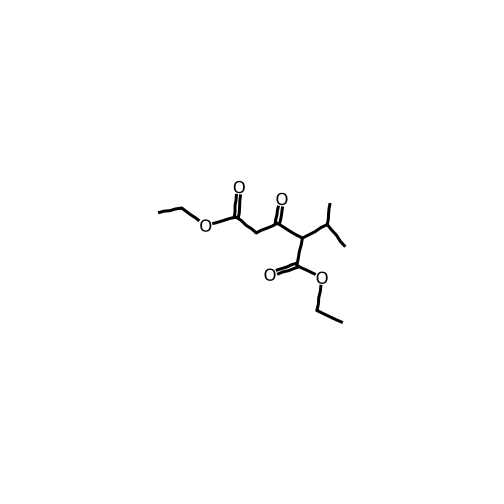 CCOC(=O)CC(=O)C(C(=O)OCC)C(C)C